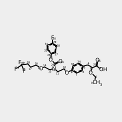 CCOC(Cc1ccc(OCCN(CCOCCCC(F)(F)F)C(=O)Oc2ccc(F)cc2)cc1)C(=O)O